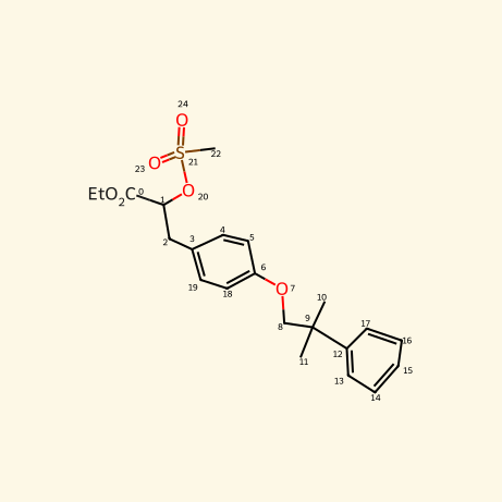 CCOC(=O)C(Cc1ccc(OCC(C)(C)c2ccccc2)cc1)OS(C)(=O)=O